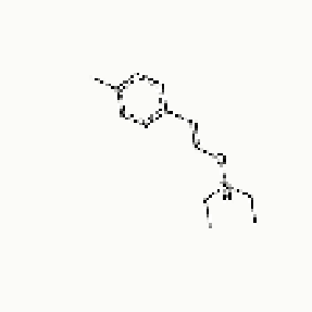 CC[SiH](CC)OC=Cc1ccc(C)cc1